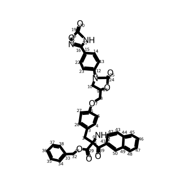 NC(Cc1ccc(OCC2CN(c3ccc(-c4noc(=O)[nH]4)cc3)C(=O)O2)cc1)(C(=O)OCc1ccccc1)C(=O)c1ccc2ccccc2c1